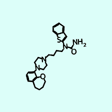 NC(=O)N(CCCCN1CCN(c2cccc3c2OCCCC3)CC1)c1cc2ccccc2s1